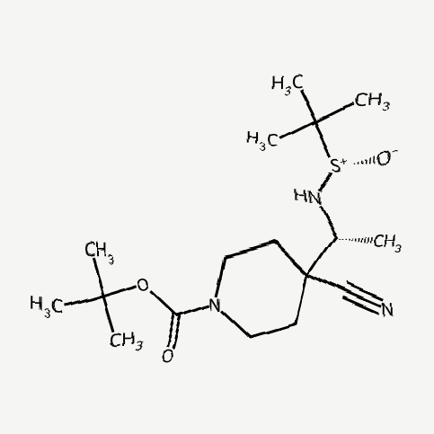 C[C@@H](N[S@@+]([O-])C(C)(C)C)C1(C#N)CCN(C(=O)OC(C)(C)C)CC1